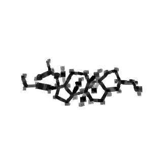 CCC#C[C@]1(OC(C)=O)CC[C@H]2[C@@H]3CCC4=CC(=NO)CC[C@@H]4[C@H]3CC[C@@H]21